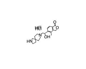 Cc1c([C@@H](O)CN2CCC3(CCNC3)CC2)ccc2c1COC2=O.Cl.Cl